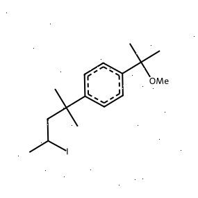 COC(C)(C)c1ccc(C(C)(C)CC(C)I)cc1